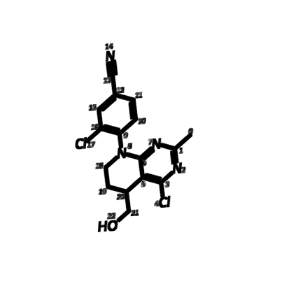 Cc1nc(Cl)c2c(n1)N(c1ccc(C#N)cc1Cl)CCC2CO